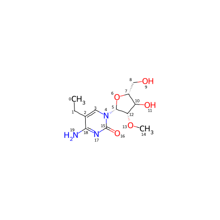 CCc1cn([C@@H]2O[C@H](CO)C(O)[C@@H]2OC)c(=O)nc1N